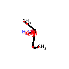 CCCCC/C=C\C/C=C\CCCCCCCCCCCC(=O)O[C@H](CO/C=C\CCCCCCCCCCCCCCCC)COP(=O)(O)OC[C@H](N)C(=O)O